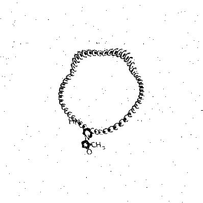 CC1=C(N2CCC3(CCCCCCCCCCCCCCCCCCCCCCCCCCCCCCCCCCCCCCCCCCCCCCCCNCC3)CC2)CCC1=O